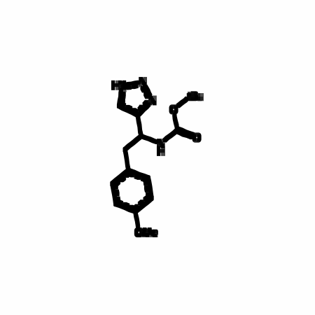 COc1ccc(CC(NC(=O)OC(C)(C)C)c2c[nH]nn2)cc1